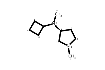 CN1CC[C@H](N(C)C2CCC2)C1